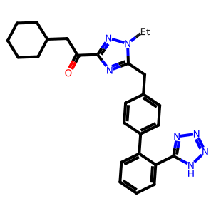 CCn1nc(C(=O)CC2CCCCC2)nc1Cc1ccc(-c2ccccc2-c2nnn[nH]2)cc1